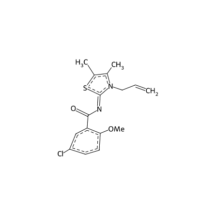 C=CCn1c(C)c(C)sc1=NC(=O)c1cc(Cl)ccc1OC